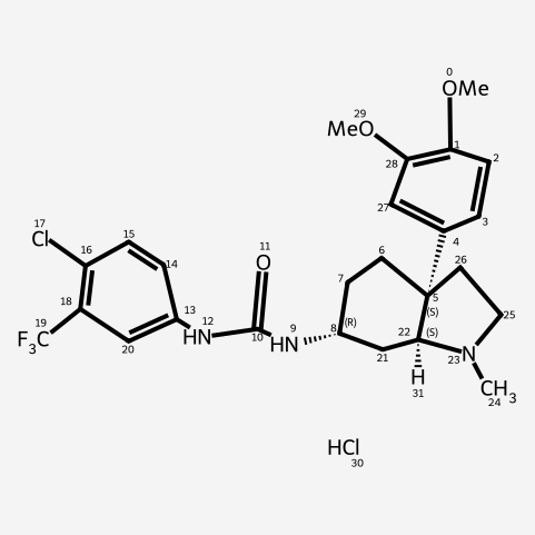 COc1ccc([C@@]23CC[C@@H](NC(=O)Nc4ccc(Cl)c(C(F)(F)F)c4)C[C@@H]2N(C)CC3)cc1OC.Cl